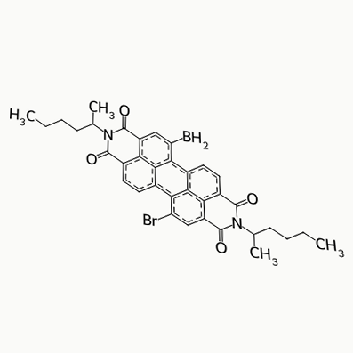 Bc1cc2c3c(ccc4c5c(Br)cc6c7c(ccc(c1c34)c75)C(=O)N(C(C)CCCC)C6=O)C(=O)N(C(C)CCCC)C2=O